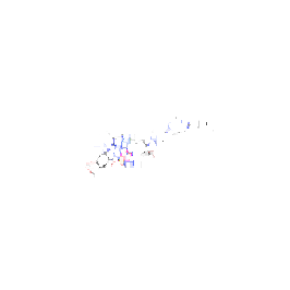 CN1CCCN(C2CCN(c3cc(Cl)c(Nc4ncc(Cl)c(Nc5cc6c(cc5NS(C)(=O)=O)CCO6)n4)cc3Br)CC2)CC1